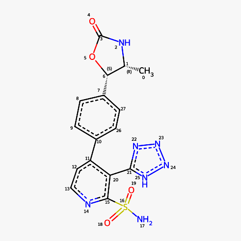 C[C@H]1NC(=O)O[C@H]1c1ccc(-c2ccnc(S(N)(=O)=O)c2-c2nnn[nH]2)cc1